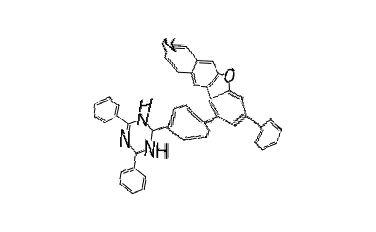 c1ccc(C2=NC(c3ccccc3)NC(c3ccc(-c4cc(-c5ccccc5)cc5oc6cc7cnccc7cc6c45)cc3)N2)cc1